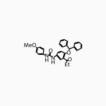 CCC(=O)c1cc(NC(=O)Nc2ccc(OC)cc2)ccc1OC(c1ccccc1)c1ccccc1